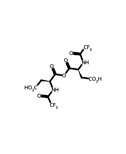 O=C(O)C[C@H](NC(=O)C(F)(F)F)C(=O)OC(=O)[C@H](CC(=O)O)NC(=O)C(F)(F)F